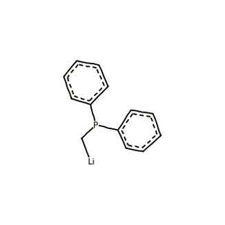 [Li][CH2]P(c1ccccc1)c1ccccc1